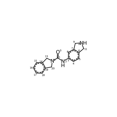 O=C(Nc1ccc2c(c1)CNC2)N1Cc2ccccc2C1